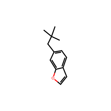 CC(C)(C)Cc1ccc2ccoc2c1